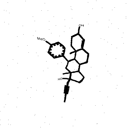 CC#CC1(O)CCC2C3CCC4=CC(O)CCC4(C)C3C(c3ccc(OC)cc3)CC21C